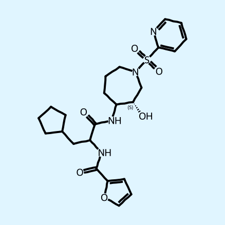 O=C(NC(CC1CCCC1)C(=O)NC1CCCN(S(=O)(=O)c2ccccn2)C[C@@H]1O)c1ccco1